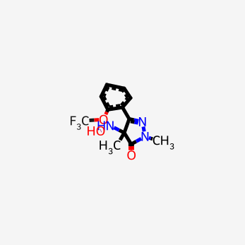 CN1N=C(c2ccccc2OC(F)(F)F)C(C)(NO)C1=O